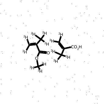 [2H]C([2H])=C(C(=O)O)C([2H])([2H])[2H].[2H]C([2H])=C(C(=O)OC([2H])([2H])[2H])C([2H])([2H])[2H]